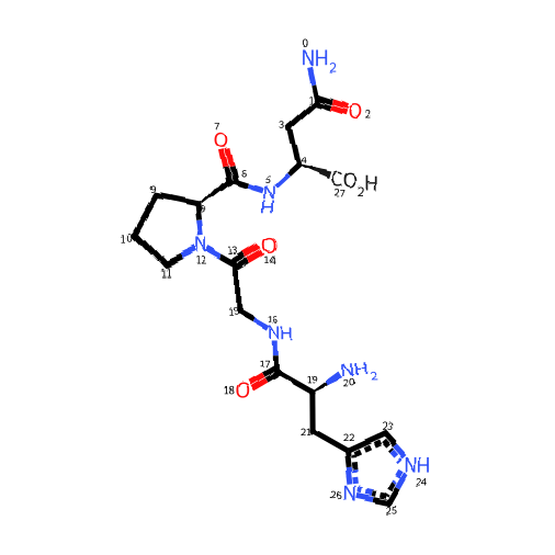 NC(=O)C[C@H](NC(=O)[C@@H]1CCCN1C(=O)CNC(=O)[C@@H](N)Cc1c[nH]cn1)C(=O)O